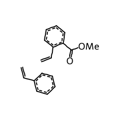 C=Cc1ccccc1.C=Cc1ccccc1C(=O)OC